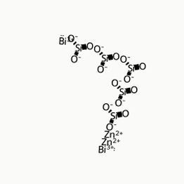 O=[Si]([O-])[O-].O=[Si]([O-])[O-].O=[Si]([O-])[O-].O=[Si]([O-])[O-].O=[Si]([O-])[O-].[Bi+3].[Bi+3].[Zn+2].[Zn+2]